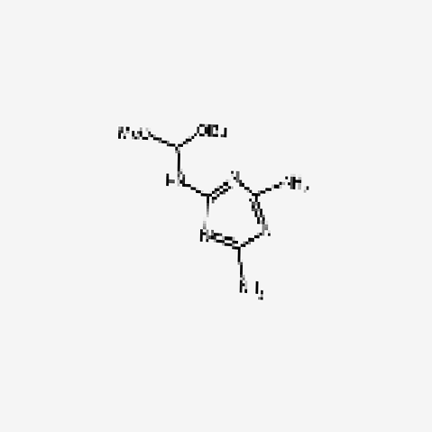 COC(Nc1nc(N)nc(N)n1)OCC(C)C